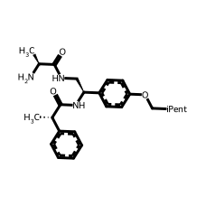 CCCC(C)COc1ccc([C@H](CNC(=O)[C@H](C)N)NC(=O)[C@@H](C)c2ccccc2)cc1